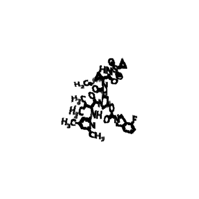 C=C[C@@H]1C[C@]1(NC(=O)[C@@H]1C[C@@H](OC(=O)N2Cc3cccc(F)c3C2)CN1C(=O)C(Nc1cc(C)cc(C)n1)C(C)C)C(=O)NS(=O)(=O)C1CC1